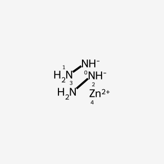 [NH-]N.[NH-]N.[Zn+2]